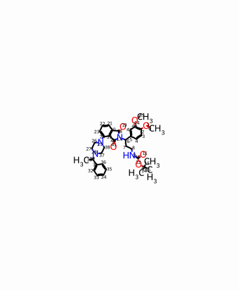 COc1ccc(C(CCNC(=O)OC(C)(C)C)N2C(=O)c3cccc(N4CCN(C(C)c5ccccc5)CC4)c3C2=O)cc1OC